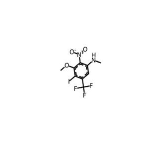 CNc1cc(C(F)(F)F)c(I)c(OC)c1[N+](=O)[O-]